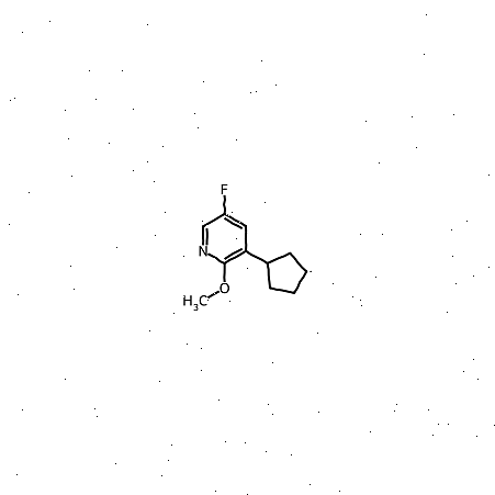 COc1ncc(F)cc1C1C[CH]CC1